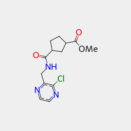 COC(=O)C1CCC(C(=O)NCc2nccnc2Cl)C1